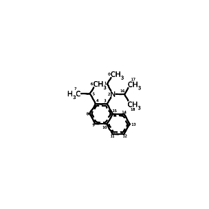 CCN(c1c(C(C)C)ccc2ccccc12)C(C)C